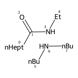 CCCCCCCC(=O)NCC.CCCCNCCCC